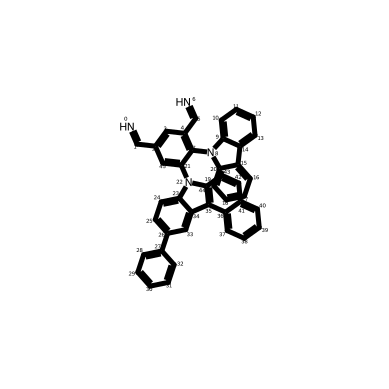 N=Cc1cc(C=N)c(-n2c3ccccc3c3ccccc32)c(-n2c3ccc(-c4ccccc4)cc3c3c4ccccc4ccc32)c1